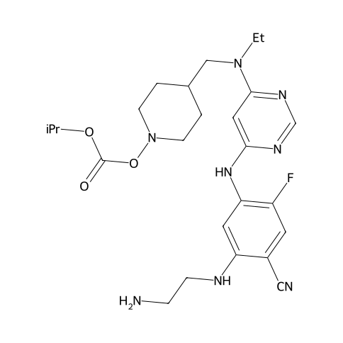 CCN(CC1CCN(OC(=O)OC(C)C)CC1)c1cc(Nc2cc(NCCN)c(C#N)cc2F)ncn1